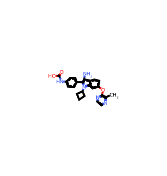 Cc1nccnc1Oc1ccc2c(N)c(-c3ccc(NC(=O)O)cc3)n(C3CCC3)c2c1